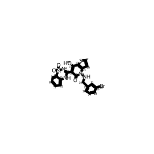 O=c1c(C2=NS(=O)(=O)c3ccccc3N2)c(O)c2sccc2n1NCc1cccc(Br)c1